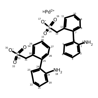 Nc1ccccc1-c1ccccc1CS(=O)(=O)[O-].Nc1ccccc1-c1ccccc1CS(=O)(=O)[O-].[Pd+2]